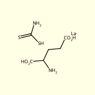 NC(=S)S.NC(CCC(=O)O)C(=O)O.[La]